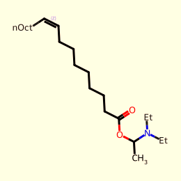 CCCCCCCC/C=C\CCCCCCCC(=O)OC(C)N(CC)CC